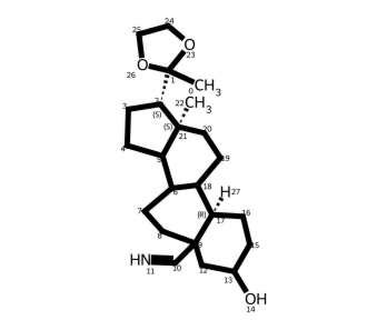 CC1([C@H]2CCC3C4CCC5(C=N)CC(O)CC[C@@H]5C4CC[C@@]32C)OCCO1